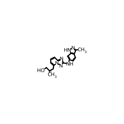 Cc1n[nH]c2cc(Nc3nc4cccc(C[C@H](C)CO)n4n3)ccc12